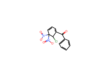 O=C(C1=CC=CC([N+](=O)[O-])([N+](=O)[O-])C1Cl)c1ccccc1